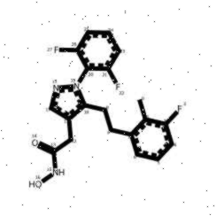 Cc1c(F)cccc1CCc1c(CC(=O)NO)cnn1-c1c(F)cccc1F